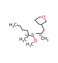 CCCC[C@H](C)[C@H](C[C@@H](C)CC1CCCOC1)OC